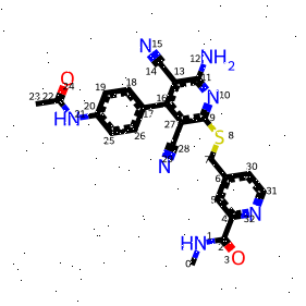 CNC(=O)c1cc(CSc2nc(N)c(C#N)c(-c3ccc(NC(C)=O)cc3)c2C#N)ccn1